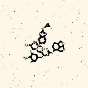 CC(C)CN(C[C@@H](O)[C@H](CC1=CC(F)C(C)C(F)=C1)NC(=O)OC1CCC2COC3OCC1C23)S(=O)(=O)c1ccc2nc(NC3CC3)sc2c1